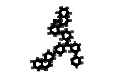 c1ccc(-c2cccc(N(c3ccc(-c4ccc5c(ccc6ccccc65)c4)cc3)c3cccc(-c4cccc5oc6c7ccccc7ccc6c45)c3)c2)cc1